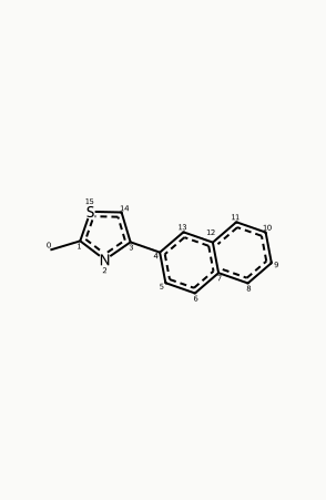 Cc1nc(-c2ccc3ccccc3c2)cs1